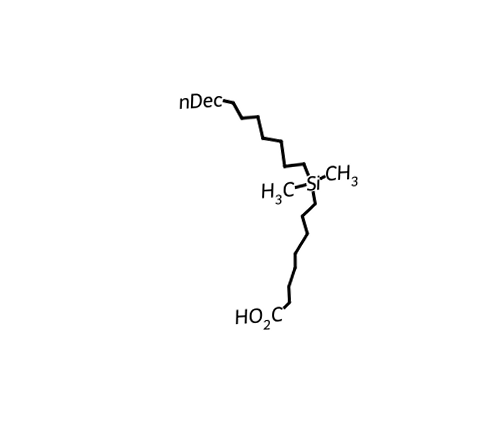 CCCCCCCCCCCCCCCCC[Si](C)(C)CCCCCCCC(=O)O